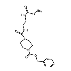 CC(C)(C)OC(=O)NCCNC(=O)C1CCN(C(=O)OCc2ccccc2)CC1